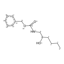 CCCCC(O)CNC(=O)OCc1ccccc1